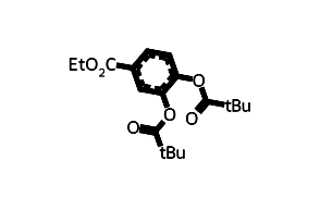 CCOC(=O)c1ccc(OC(=O)C(C)(C)C)c(OC(=O)C(C)(C)C)c1